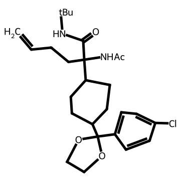 C=CCCC(NC(C)=O)(C(=O)NC(C)(C)C)C1CCC(C2(c3ccc(Cl)cc3)OCCO2)CC1